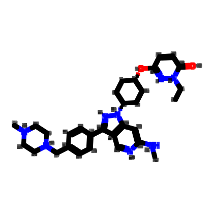 CCn1nc(O[C@H]2CC[C@@H](n3nc(-c4ccc(CN5CCN(C)CC5)cc4)c4cnc(NC)cc43)CC2)ccc1=O